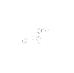 CCN(Cc1cc(C(F)(F)F)ccc1-c1cc(CC(=O)OC)ccc1OC)C(=O)C(C)Oc1ccccc1